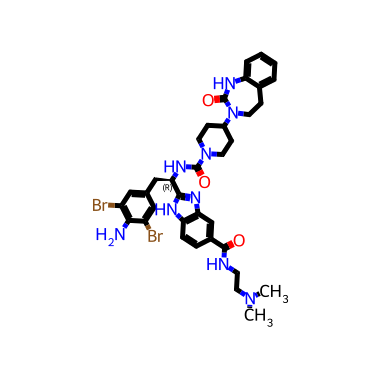 CN(C)CCNC(=O)c1ccc2[nH]c([C@@H](Cc3cc(Br)c(N)c(Br)c3)NC(=O)N3CCC(N4CCc5ccccc5NC4=O)CC3)nc2c1